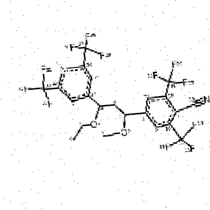 CCOC(CC(OC)c1cc(C(F)(F)F)c(C#N)c(C(F)(F)F)c1)c1cc(C(F)(F)F)nc(C(F)(F)F)c1